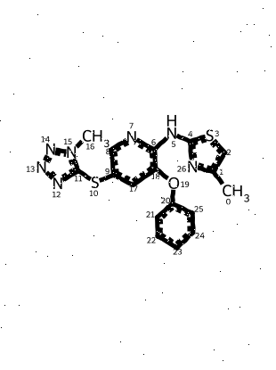 Cc1csc(Nc2ncc(Sc3nnnn3C)cc2Oc2ccccc2)n1